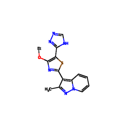 CCOc1nc(-c2c(C)nn3ccccc23)sc1-c1nnc[nH]1